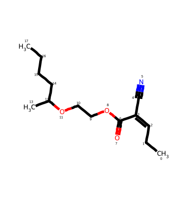 CCC=C(C#N)C(=O)OCCOC(C)CCCC